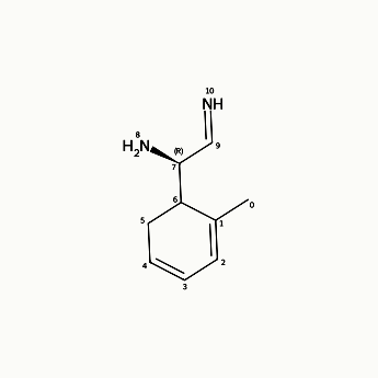 CC1=CC=CCC1[C@@H](N)C=N